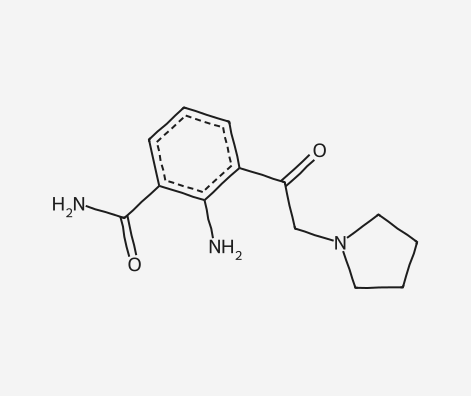 NC(=O)c1cccc(C(=O)CN2CCCC2)c1N